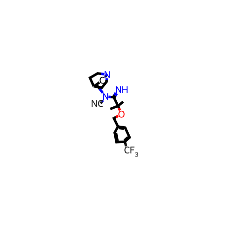 CC(C)(OCc1ccc(C(F)(F)F)cc1)C(=N)N(C#N)C1CN2CCC1CC2